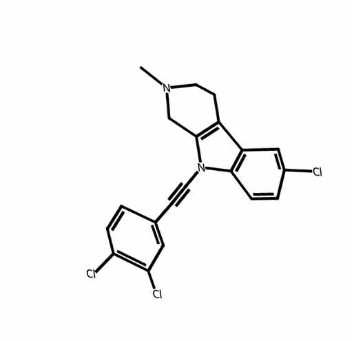 CN1CCc2c(n(C#Cc3ccc(Cl)c(Cl)c3)c3ccc(Cl)cc23)C1